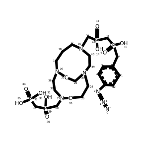 [N-]=[N+]=Nc1ccc(CP(=O)(O)CP(=O)(O)CN2CCCN3CCN(CCCN(CP(=O)(O)CP(=O)(O)O)CC3)CC2)cc1